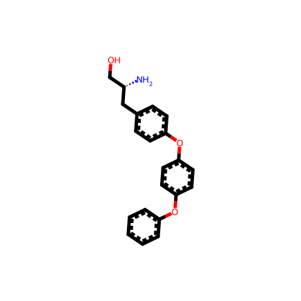 N[C@@H](CO)Cc1ccc(Oc2ccc(Oc3ccccc3)cc2)cc1